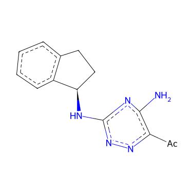 CC(=O)c1nnc(N[C@@H]2CCc3ccccc32)nc1N